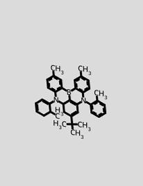 Cc1ccc2c(c1)B1C3=C(C=C(C(C)(C)C)CC3N(C3=CC=CCC3C)c3ccc(C)cc31)N2c1ccccc1C